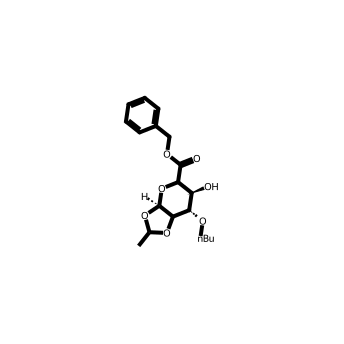 CCCCO[C@@H]1C2OC(C)O[C@H]2OC(C(=O)OCc2ccccc2)[C@H]1O